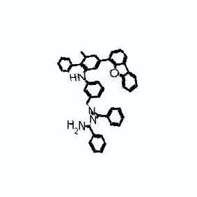 CC1CC(c2cccc3c2oc2ccccc23)=CC(Nc2cccc(C[N@]3C(c4ccccc4)[N@]3C(N)c3ccccc3)c2)=C1c1ccccc1